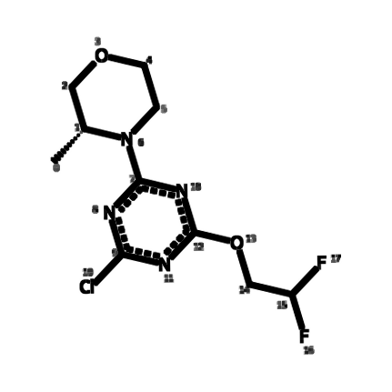 C[C@@H]1COCCN1c1nc(Cl)nc(OCC(F)F)n1